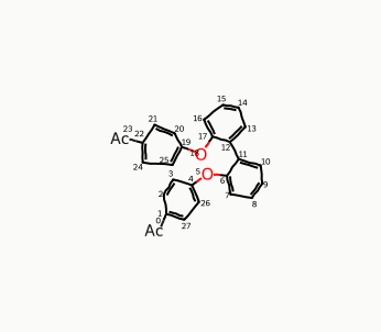 CC(=O)c1ccc(Oc2ccccc2-c2ccccc2Oc2ccc(C(C)=O)cc2)cc1